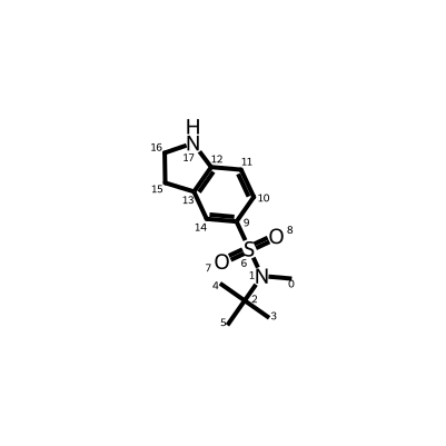 CN(C(C)(C)C)S(=O)(=O)c1ccc2c(c1)CCN2